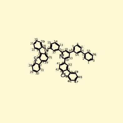 c1ccc(-c2cccc(-c3cc(-c4cccc(-n5c6ccccc6c6c7sc8ccccc8c7ccc65)c4)nc(-c4ccc5oc6ccccc6c5c4)c3)c2)cc1